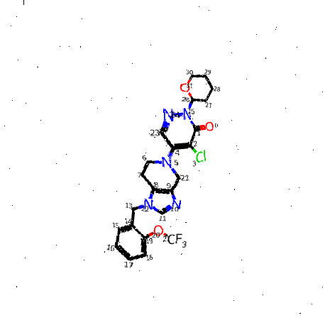 O=c1c(Cl)c(N2CCc3c(ncn3Cc3ccccc3OC(F)(F)F)C2)cnn1C1CCCCO1